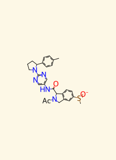 CC(=O)N1Cc2cc([S+](C)[O-])ccc2C1C(=O)Nc1cnc(N2CCCC2c2ccc(C)cc2)nc1